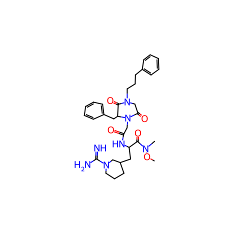 CON(C)C(=O)C(CC1CCCN(C(=N)N)C1)NC(=O)CN1C(=O)CN(CCCc2ccccc2)C(=O)C1Cc1ccccc1